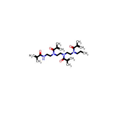 C=C(C)C(=O)NCCN(CCN(CCN(CCC)C(=O)C(=C)C)C(=O)C(=C)C)C(=O)C(=C)C